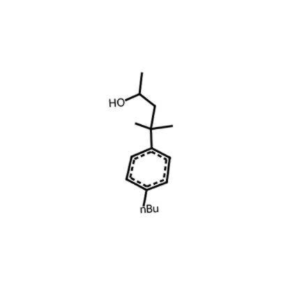 CCCCc1ccc(C(C)(C)CC(C)O)cc1